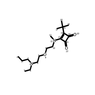 CCCN(CC)CCOCCN(C)c1c(C(C)(C)C)c(=O)c1=O